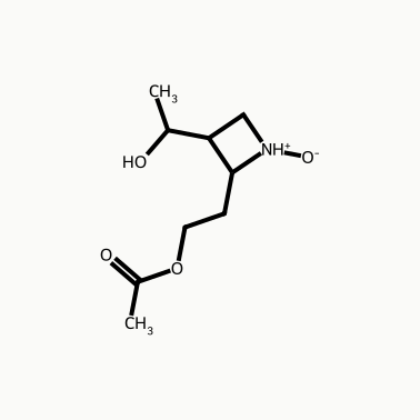 CC(=O)OCCC1C(C(C)O)C[NH+]1[O-]